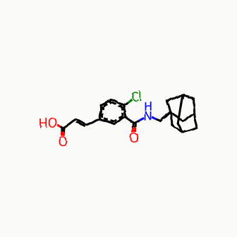 O=C(O)C=Cc1ccc(Cl)c(C(=O)NCC23CC4CC(CC(C4)C2)C3)c1